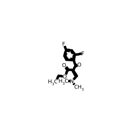 CCOC(=O)C(=CN(C)C)C(=O)c1ccc(F)cc1F